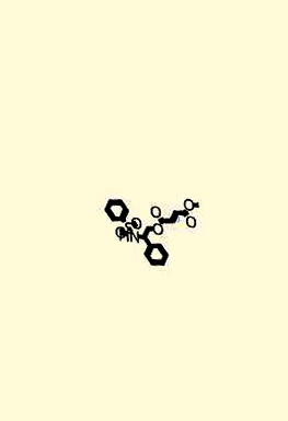 COC(=O)/C=C/C(=O)OCC(NS(=O)(=O)c1ccccc1)c1ccccc1